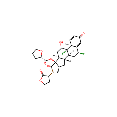 C[C@@H]1C[C@H]2[C@@H]3C[C@H](F)C4=CC(=O)C=C[C@]4(C)[C@@]3(F)[C@@H](O)C[C@]2(C)[C@@]1(OC(=O)[C@@H]1CCCO1)C(=O)S[C@H]1CCOC1=O